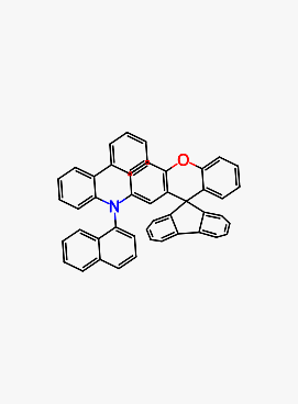 c1ccc(-c2ccccc2N(c2ccc3c(c2)C2(c4ccccc4O3)c3ccccc3-c3ccccc32)c2cccc3ccccc23)cc1